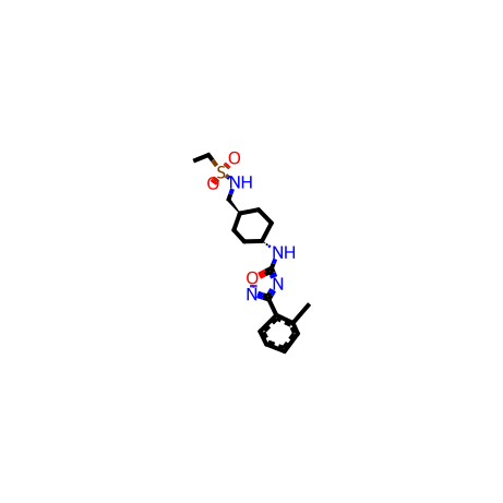 CCS(=O)(=O)NC[C@H]1CC[C@H](Nc2nc(-c3ccccc3C)no2)CC1